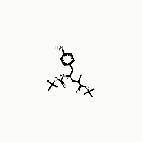 CC(C[C@H](Cc1ccc(N)cc1)NC(=O)OC(C)(C)C)C(=O)OC(C)(C)C